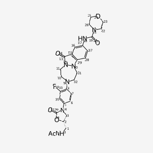 CC(=O)NC[C@H]1CN(c2ccc(N3CCn4c(=O)c5cc(NC(=O)N6CCOCC6)ccc5n4CC3)c(F)c2)C(=O)O1